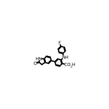 O=C1Cc2cc(-c3ccc(C(=O)O)c(Nc4ccc(F)cc4)c3)ccc2N1